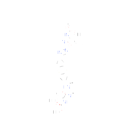 COC(=O)N[C@H](C(=O)N1CCC[C@H]1c1ncc(-c2ccc3c(c2)Sc2cc(C4=CCC([C@@H]5CCCN5C(=O)[C@@H](NC(=O)OC)C(C)C)N4)ccc2S3)[nH]1)C(C)C